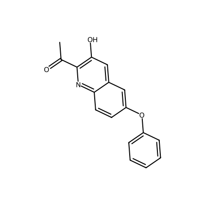 CC(=O)c1nc2ccc(Oc3ccccc3)cc2cc1O